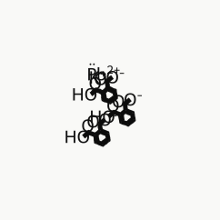 O=C([O-])c1ccccc1C(=O)O.O=C([O-])c1ccccc1C(=O)O.O=C([O-])c1ccccc1C(=O)O.[K+].[Pb+2]